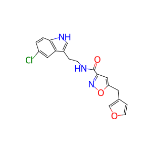 O=C(NCCc1c[nH]c2ccc(Cl)cc12)c1cc(Cc2ccoc2)on1